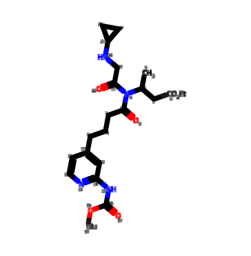 CCOC(=O)CC(C)N(C(=O)CCCc1ccnc(NC(=O)OC(C)(C)C)c1)C(=O)CNC1CC1